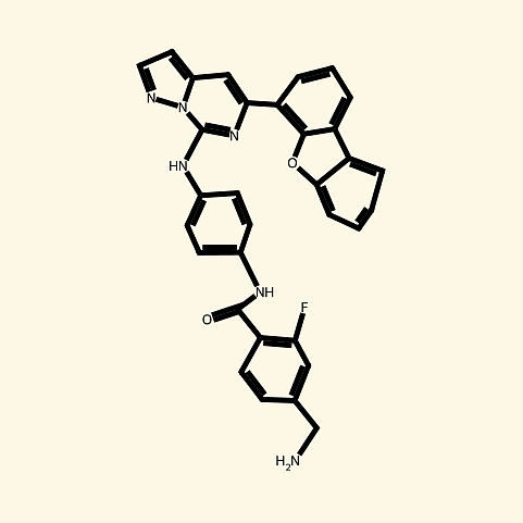 NCc1ccc(C(=O)Nc2ccc(Nc3nc(-c4cccc5c4oc4ccccc45)cc4ccnn34)cc2)c(F)c1